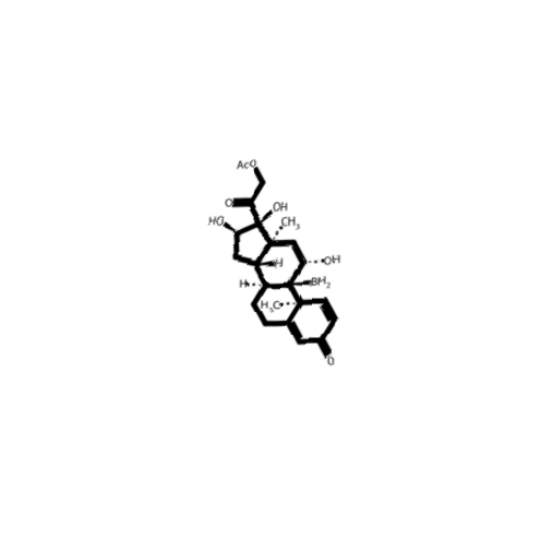 B[C@]12[C@@H](O)C[C@@]3(C)[C@@H](C[C@@H](O)[C@]3(O)C(=O)COC(C)=O)[C@@H]1CCC1=CC(=O)C=C[C@@]12C